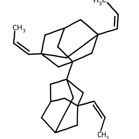 C/C=C\C12CC3CC(C1)CC(C14CC5CC(/C=C\C)(CC(/C=C\C)(C5)C1)C4)(C3)C2